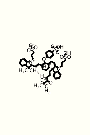 CC(C)(C)C(=O)CCCC1(C)/C(=C\C=C2/CCCC(/C=C/C3=[N+](CCCS(=O)(=O)[O-])c4ccccc4C3(C)C)=C2Oc2ccc(S(=O)(=O)O)cc2)N(CCCS(=O)(=O)O)c2ccccc21